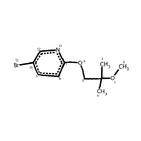 COC(C)(C)COc1ccc(Br)cn1